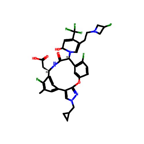 Cc1cc2cc(c1F)[C@H](CC(=O)O)NC(=O)[C@@H](N1C=C(CCN3CC(F)C3)C(C(F)(F)F)=CC1O)c1cc(ccc1F)Oc1nn(CC3CC3)cc1-2